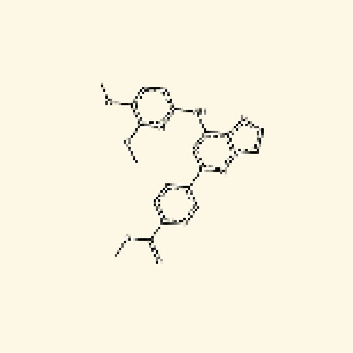 COC(=O)c1ccc(-c2cc(Nc3ccc(OC)c(OC)n3)c3nccn3n2)cc1